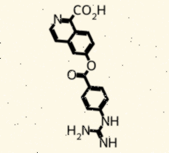 N=C(N)Nc1ccc(C(=O)Oc2ccc3c(C(=O)O)nccc3c2)cc1